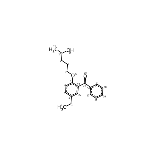 CCc1ccc(OCCCC(C)O)c(C(=O)c2ccccc2)c1